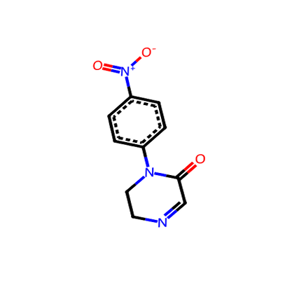 O=C1C=NCCN1c1ccc([N+](=O)[O-])cc1